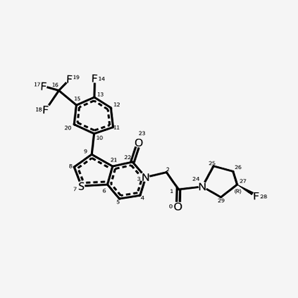 O=C(Cn1ccc2scc(-c3ccc(F)c(C(F)(F)F)c3)c2c1=O)N1CC[C@@H](F)C1